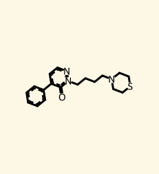 O=c1c(-c2ccccc2)ccnn1CCCCN1CCSCC1